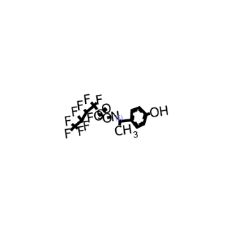 C/C(=N\OS(=O)(=O)C(F)(F)C(F)(F)C(F)(F)C(F)(F)F)c1ccc(O)cc1